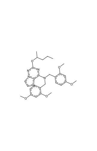 CCCC(C)Oc1nc(N(Cc2ccc(OC)cc2OC)Cc2ccc(OC)cc2OC)c2nccn2n1